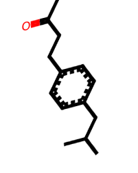 CC(=O)CCc1ccc(CC(C)C)cc1